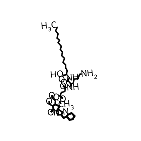 CCCCCCCCCCCCCCCCC(NC(=O)C(CCCCN)NC(=O)CCC(=O)O[C@]1(CC)C(=O)OCc2c1cc1n(c2=O)Cc2cc3ccccc3nc2-1)C(=O)O